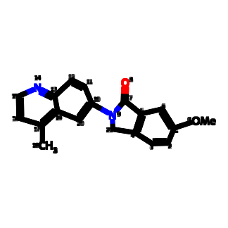 COc1ccc2c(c1)C(=O)N(c1ccc3nccc(C)c3c1)C2